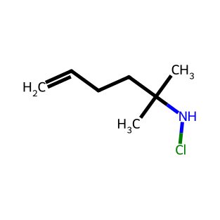 C=CCCC(C)(C)NCl